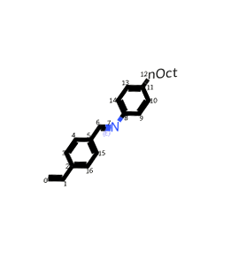 C=Cc1ccc(/C=N/c2ccc(CCCCCCCC)cc2)cc1